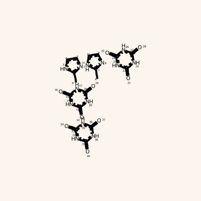 Cc1ncc[nH]1.Cc1ncc[nH]1.O=c1[nH]c(=O)[nH]c(=O)[nH]1.O=c1[nH]c(=O)[nH]c(=O)[nH]1.O=c1[nH]c(=O)[nH]c(=O)[nH]1